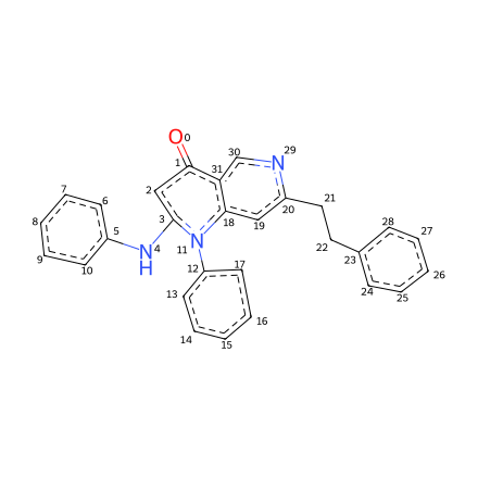 O=c1cc(Nc2ccccc2)n(-c2ccccc2)c2cc(CCc3ccccc3)ncc12